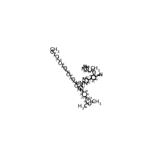 COCCOCCOCCOCCOCCOCCOc1nn([C@H]2CC[C@H](N3C[C@@H](C)O[C@@H](C)C3)CC2)cc1Nc1ncc(-c2ccc(C#N)c(O[C@@H](C)Cn3cnnn3)c2)cn1